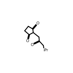 CC(C)CC(=O)CC1C(=O)CCC1=O